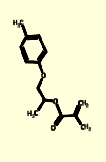 C=C(C)C(=O)OC(C)COc1ccc(C)cc1